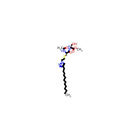 CCCCCCCCCCCCCc1cn(CCSC[C@H](NC(C)=O)C(=O)N[C@@H](CO)C(=O)OC)nn1